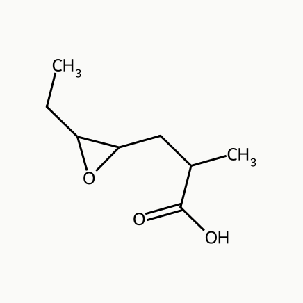 CCC1OC1CC(C)C(=O)O